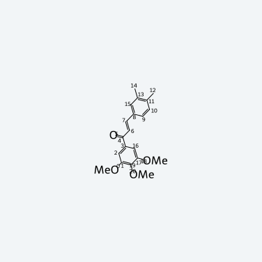 COc1cc(C(=O)/C=C/c2ccc(C)c(C)c2)cc(OC)c1OC